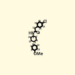 COc1ccc([C@H]2CC[C@H](NC(=O)Cc3ccc(Cl)cc3)CC2)cc1